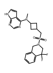 CN(c1ncnc2[nH]ccc12)C1CC(CS(=O)(=O)N2Cc3ccccc3C(F)(F)C2)C1